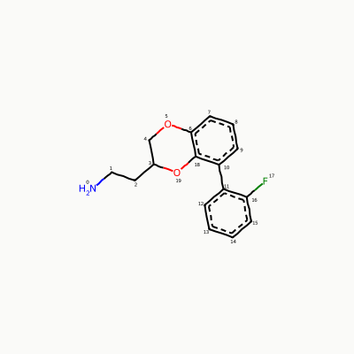 NCCC1COc2cccc(-c3ccccc3F)c2O1